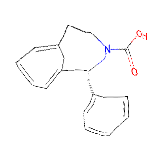 O=C(O)N1CCc2ccccc2[C@H]1c1ccccc1